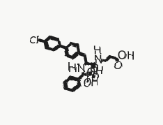 O=C(O)CCNC(=O)C(Cc1ccc(-c2ccc(Cl)cc2)cc1)NC(c1ccccc1)P(=O)(O)O